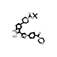 CC(C)(C)OC(=O)N1CCC(c2ccc3[nH]nc(-c4cn(-c5ccc(C(=O)N6CCOCC6)cc5)nn4)c3c2)CC1.Cl